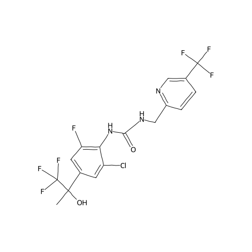 CC(O)(c1cc(F)c(NC(=O)NCc2ccc(C(F)(F)F)cn2)c(Cl)c1)C(F)(F)F